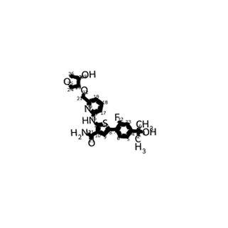 CC(C)(O)c1ccc(-c2cc(C(N)=O)c(Nc3cccc(CO[C@@H]4COC[C@@H]4O)n3)s2)c(F)c1